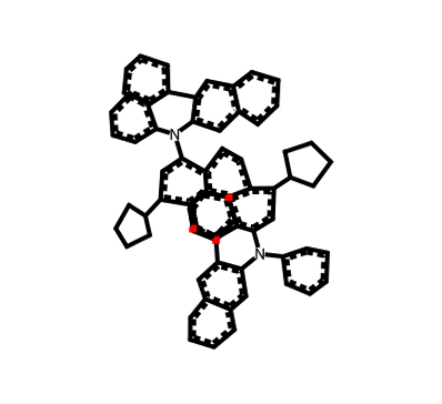 c1ccc(-c2cc3ccccc3cc2N(c2ccccc2)c2cc(C3CCCC3)c3ccc4c(N(c5ccccc5)c5cc6ccccc6cc5-c5ccccc5)cc(C5CCCC5)c5ccc2c3c54)cc1